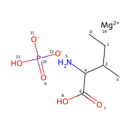 CCC(C)C(N)C(=O)O.O=P([O-])([O-])O.[Mg+2]